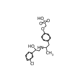 CC(Cc1ccc(OCS(=O)(=O)O)cc1)NCC(O)c1cccc(Cl)c1